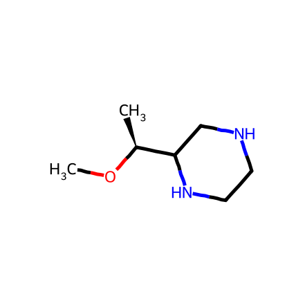 CO[C@@H](C)C1CNCCN1